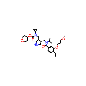 CCc1ccc(C(=O)N(C[C@@H]2CNC[C@H]2CN(C(=O)OC2CCOCC2)C2CC2)C(C)C)cc1OCCCOC